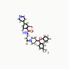 Cc1cc(-c2ccncc2)cc(C)c1C(=O)NCC[C@@H](C)N1CCC(C(Oc2ccccc2)c2ccc(C(F)(F)F)cc2)CC1